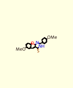 COc1ccc(C2N=C3Oc4ccc(OC)cc4C=C3C(=S)N2)cc1